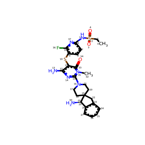 CCS(=O)(=O)Nc1ccc(Sc2c(N)nc(N3CCC4(CC3)Cc3ccccc3[C@H]4N)n(C)c2=O)c(F)n1